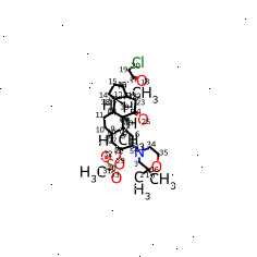 CC1(C)CN([C@H]2C[C@@]3(C)[C@@H](CC[C@H]4[C@@H]5CC[C@H](C(=O)CCl)[C@@]5(C)CC(=O)[C@@H]43)C[C@@H]2OS(C)(=O)=O)CCO1